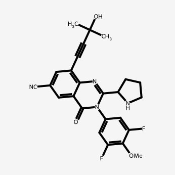 COc1c(F)cc(-n2c(C3CCCN3)nc3c(C#CC(C)(C)O)cc(C#N)cc3c2=O)cc1F